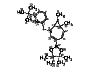 CC1C2N(Cc3cccc(C(C)(C)O)n3)C=C(B3OC(C)(C)C(C)(C)O3)C=CC12C